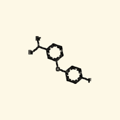 Fc1ccc(Oc2cccc(C(Br)Br)c2)cc1